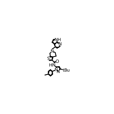 Cc1ccc(-n2nc(C(C)(C)C)cc2NC(=O)c2csc3c2CCN(Cc2ccnc4[nH]ccc24)C3)cc1